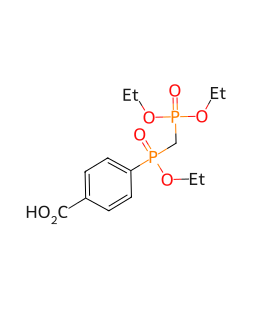 CCOP(=O)(CP(=O)(OCC)c1ccc(C(=O)O)cc1)OCC